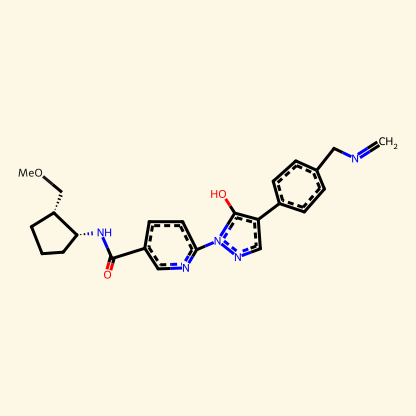 C=NCc1ccc(-c2cnn(-c3ccc(C(=O)N[C@@H]4CCC[C@@H]4COC)cn3)c2O)cc1